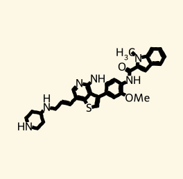 COc1cc(-c2csc3c(C=CCNC4CCNCC4)cnc(N)c23)ccc1NC(=O)c1cc2ccccc2n1C